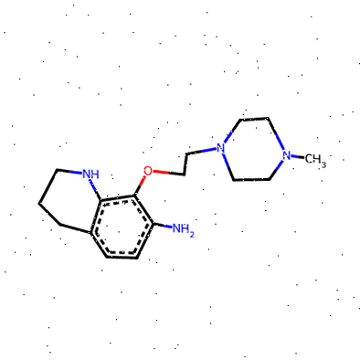 CN1CCN(CCOc2c(N)ccc3c2NCCC3)CC1